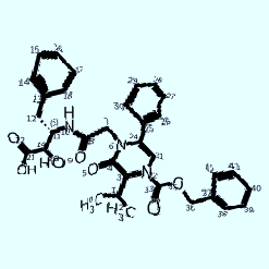 CC(C)C1C(=O)N(CC(=O)N[C@@H](Cc2ccccc2)C(O)C(=O)O)C(c2ccccc2)=CN1C(=O)OCc1ccccc1